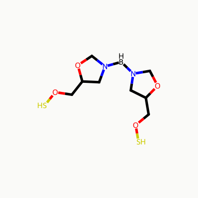 SOCC1CN(BN2COC(COS)C2)CO1